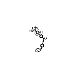 NCC(NC(=O)c1ccc(C(=O)C#Cc2ccc(CN3CCOCC3)cc2)cc1)C(=O)NO